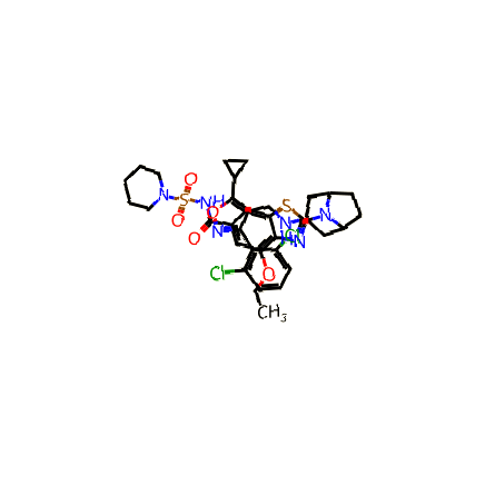 CCOc1cc(C(=O)NS(=O)(=O)N2CCCCC2)cc2sc(N3C4CCC3CC(NCc3c(-c5c(Cl)cccc5Cl)noc3C3CC3)C4)nc12